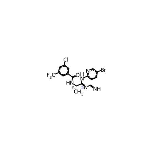 C[C@H](NC(=O)c1cc(Cl)cc(C(F)(F)F)c1)/C(=N/C=N)Nc1ccc(Br)cn1